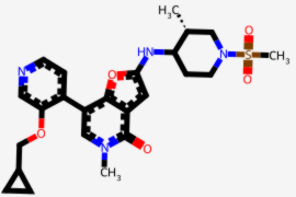 C[C@@H]1CN(S(C)(=O)=O)CCC1Nc1cc2c(=O)n(C)cc(-c3ccncc3OCC3CC3)c2o1